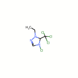 CCN1N=CN(Cl)C1C(Cl)(Cl)Cl